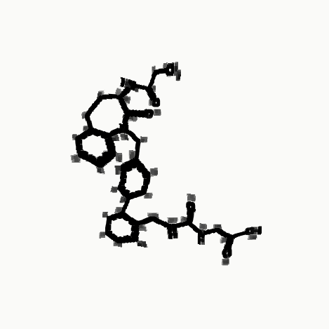 CCC(=O)N[C@@H]1CCc2ccccc2N(Cc2ccc(-c3ccccc3CNC(=O)NCC(=O)O)cc2)C1=O